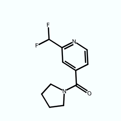 O=C(c1ccnc(C(F)F)c1)N1CCCC1